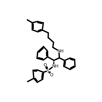 Cc1ccc(CCCCNC(c2ccccc2)[C@@H](NS(=O)(=O)c2ccc(C)cc2)c2ccccc2)cc1